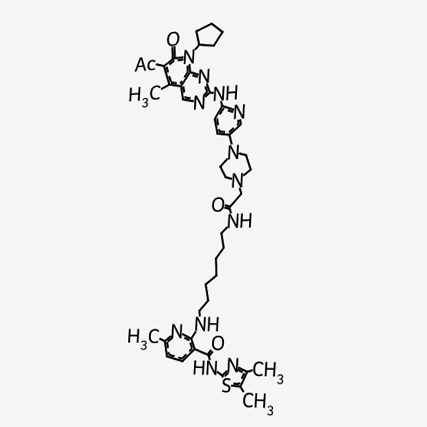 CC(=O)c1c(C)c2cnc(Nc3ccc(N4CCN(CC(=O)NCCCCCCCNc5nc(C)ccc5C(=O)Nc5nc(C)c(C)s5)CC4)cn3)nc2n(C2CCCC2)c1=O